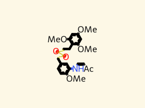 COc1cc(OC)c(CCS(=O)(=O)Cc2ccc(OC)c(N/C=C\C(C)=O)c2)c(OC)c1